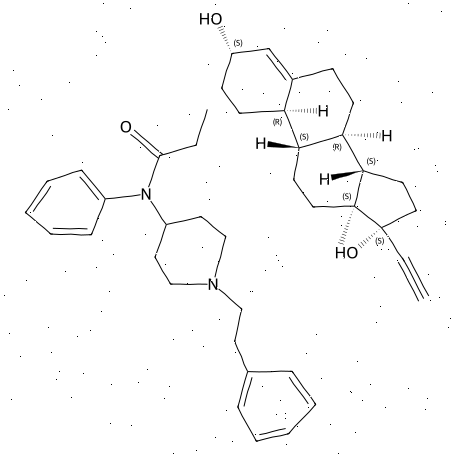 C#C[C@]1(O)CC[C@H]2[C@@H]3CCC4=C[C@@H](O)CC[C@@H]4[C@H]3CC[C@@]21C.CCC(=O)N(c1ccccc1)C1CCN(CCc2ccccc2)CC1